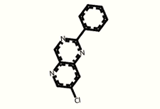 Clc1cnc2cnc(-c3ccccc3)nc2c1